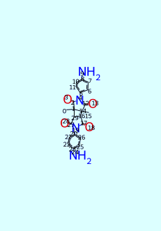 CC12C(=O)N(c3ccc(N)cc3)C(=O)C1(C)C1C(=O)N(c3ccc(N)cc3)C(=O)C12